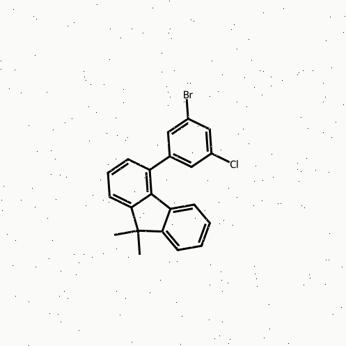 CC1(C)c2ccccc2-c2c(-c3cc(Cl)cc(Br)c3)cccc21